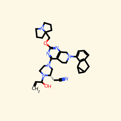 C=CC(O)N1CCN(c2nc(OCC34CCCN3CCC4)nc3c2CCN(c2cccc4c2C2CC2C4)C3)C[C@@H]1CC#N